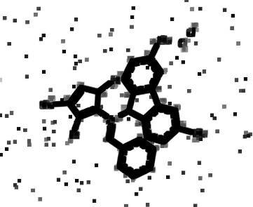 CCC1=[C](/[Zr+2](=[CH]/c2ccccc2)[CH]2c3ccc(C(C)(C)C)cc3-c3cc(C(C)(C)C)ccc32)C(CC)C=C1C(C)(C)C.[Cl-].[Cl-]